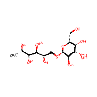 O=C[C@H](O)[C@@H](O)[C@@H](O)[C@H](O)CO[C@H]1O[C@H](CO)[C@H](O)[C@H](O)[C@H]1O